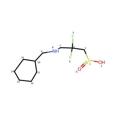 O=S(O)CC(F)(F)CNCC1CCCCC1